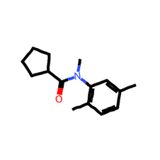 Cc1ccc(C)c(N(C)C(=O)C2CCCC2)c1